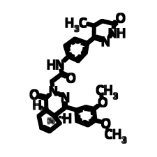 COc1ccc(C2=NN(CC(=O)Nc3ccc(C4=NNC(=O)CC4C)cc3)C(=O)[C@@H]3CC=CC[C@H]23)cc1OC